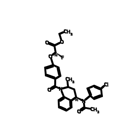 CCOC(=O)[C@H](F)Oc1ccc(C(=O)N2c3ccccc3[C@H](N(C(C)=O)c3ccc(Cl)cc3)CC2C)cc1